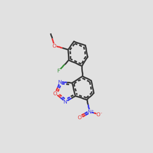 COc1cccc(-c2ccc([N+](=O)[O-])c3nonc23)c1F